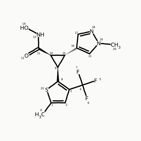 Cc1cc(C(F)(F)F)c([C@H]2[C@@H](C(=O)NO)[C@@H]2c2cnn(C)c2)s1